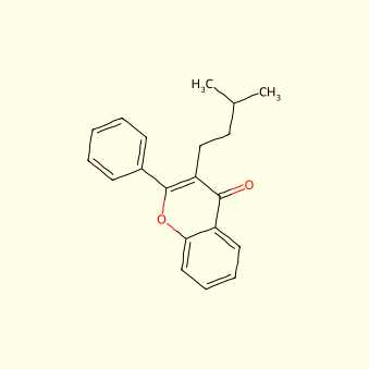 CC(C)CCc1c(-c2ccccc2)oc2ccccc2c1=O